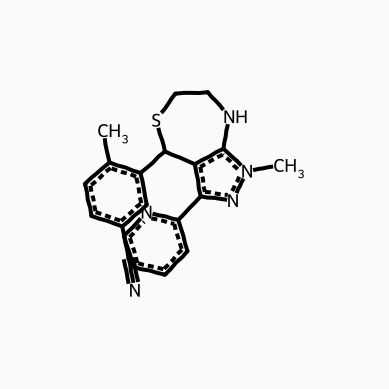 Cc1ccc(C#N)cc1C1SCCNc2c1c(-c1ccccn1)nn2C